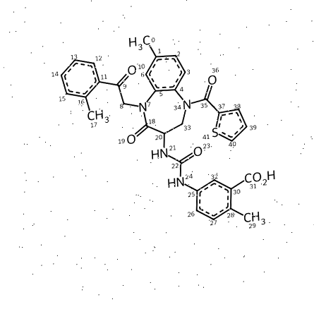 Cc1ccc2c(c1)N(CC(=O)c1ccccc1C)C(=O)C(NC(=O)Nc1ccc(C)c(C(=O)O)c1)CN2C(=O)c1cccs1